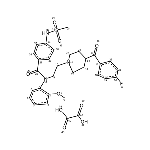 COc1ccccc1N(CCN1CCC(C(=O)c2ccc(F)cc2)CC1)C(=O)c1ccc(NS(C)(=O)=O)cc1.O=C(O)C(=O)O